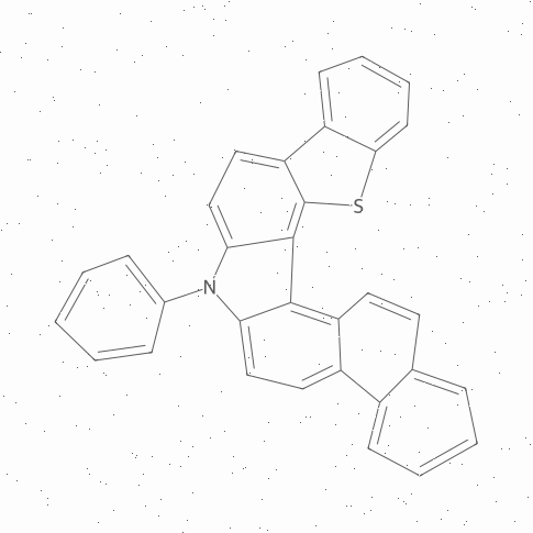 c1ccc(-n2c3ccc4c5ccccc5ccc4c3c3c4sc5ccccc5c4ccc32)cc1